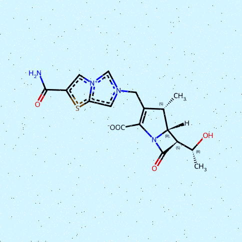 C[C@@H](O)[C@H]1C(=O)N2C(C(=O)[O-])=C(Cn3cc4sc(C(N)=O)c[n+]4c3)[C@H](C)[C@H]12